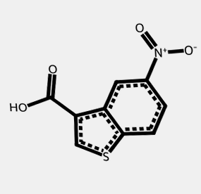 O=C(O)c1csc2ccc([N+](=O)[O-])cc12